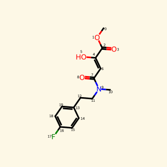 COC(=O)/C(O)=C/C(=O)N(C)CCc1ccc(F)cc1